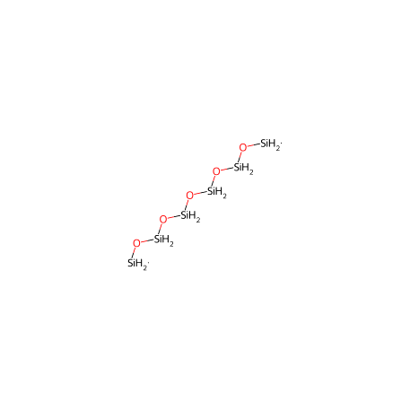 [SiH2]O[SiH2]O[SiH2]O[SiH2]O[SiH2]O[SiH2]